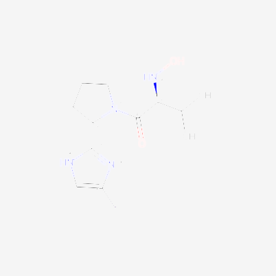 CC(C)[C@H](NO)C(=O)N1CCC[C@H]1c1nc(I)c[nH]1